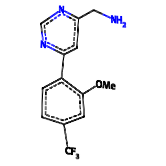 COc1cc(C(F)(F)F)ccc1-c1cc(CN)ncn1